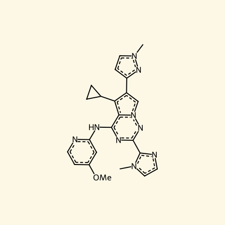 COc1ccnc(Nc2nc(-c3nccn3C)nn3cc(-c4ccn(C)n4)c(C4CC4)c23)c1